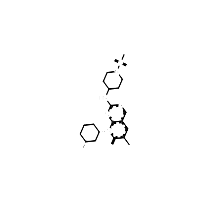 Cc1cc2cnc(NC3CCN(S(C)(=O)=O)CC3)nc2n([C@H]2CCC[C@H](O)C2)c1=O